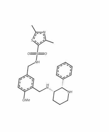 COc1ccc(CNS(=O)(=O)c2sc(C)nc2C)cc1CN[C@H]1CCCN[C@H]1c1ccccc1